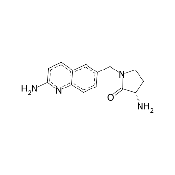 Nc1ccc2cc(CN3CC[C@H](N)C3=O)ccc2n1